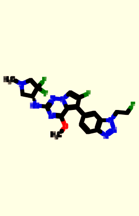 COc1nc(N[C@@H]2CN(C)CC2(F)F)nn2cc(F)c(-c3ccc4nnn(CCF)c4c3)c12